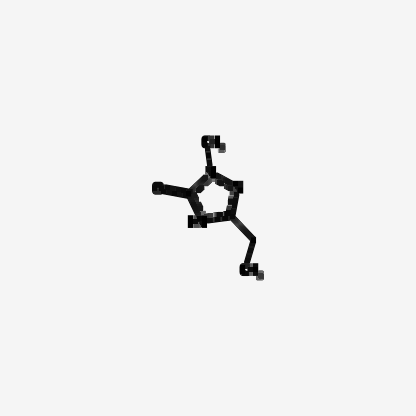 CCc1nn(C)c(=O)[nH]1